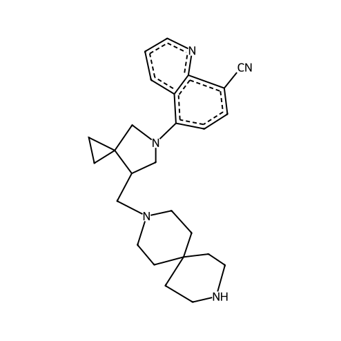 N#Cc1ccc(N2CC(CN3CCC4(CCNCC4)CC3)C3(CC3)C2)c2cccnc12